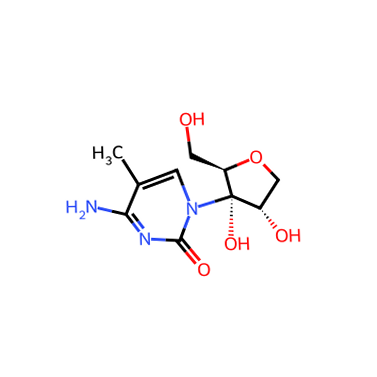 Cc1cn([C@]2(O)[C@@H](O)CO[C@@H]2CO)c(=O)nc1N